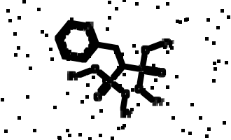 CC(C)OP(=O)(OC(C)C)C(Cc1ccccn1)P(=O)(OC(C)C)OC(C)C